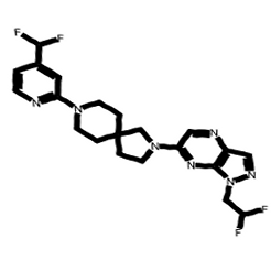 FC(F)Cn1ncc2ncc(N3CCC4(CCN(c5cc(C(F)F)ccn5)CC4)C3)nc21